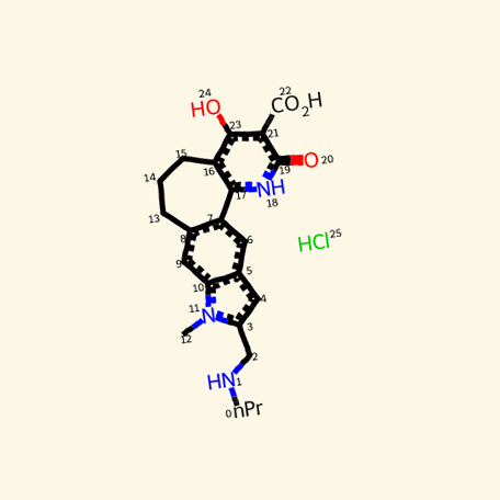 CCCNCc1cc2cc3c(cc2n1C)CCCc1c-3[nH]c(=O)c(C(=O)O)c1O.Cl